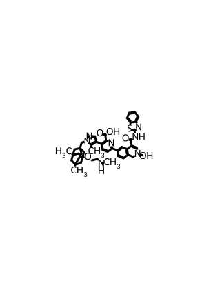 CNCCOC12CC3(C)CC(C)(CC(Cn4ncc(-c5ccc(-c6ccc7c(c6)C(C(=O)Nc6nc8ccccc8s6)=CN(O)C7)nc5C(=O)O)c4C)(C3)C1)C2